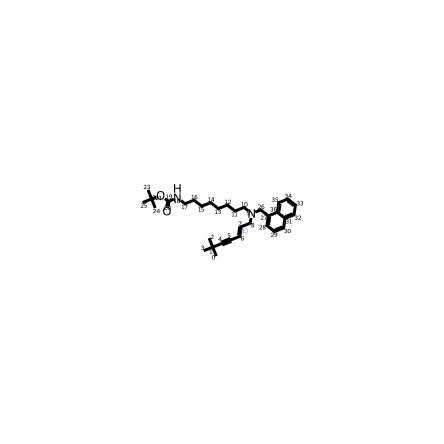 CC(C)(C)C#C/C=C/CN(CCCCCCCCNC(=O)OC(C)(C)C)Cc1cccc2ccccc12